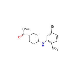 CCc1ccc([N+](=O)[O-])c(N[C@H]2CC[C@@H](C(=O)OC)CC2)c1